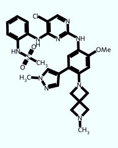 COc1cc(N2CC3(CN(C)C3)C2)c(-c2cnn(C)c2)cc1Nc1ncc(Cl)c(Nc2ccccc2NS(C)(=O)=O)n1